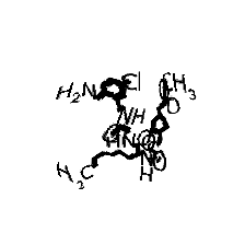 C=C/C=C\CCCC(NS(=O)(=O)Cc1ccc(CC(=O)OC)cc1)C(=O)NCC(=O)NCc1cc(Cl)ccc1CN